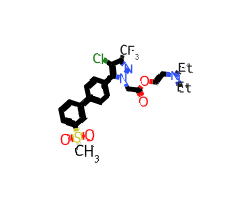 CCN(CC)CCOC(=O)Cn1nc(C(F)(F)F)c(Cl)c1-c1ccc(-c2cccc(S(C)(=O)=O)c2)cc1